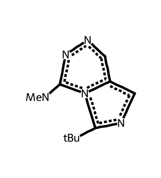 CNc1nncc2cnc(C(C)(C)C)n12